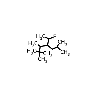 CC(C)CC(C(C)F)C(C)C(C)(C)C